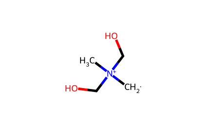 [CH2][N+](C)(CO)CO